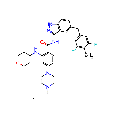 Bc1c(F)cc(Cc2ccc3[nH]nc(NC(=O)c4ccc(N5CCN(C)CC5)cc4NC4CCOCC4)c3c2)cc1F